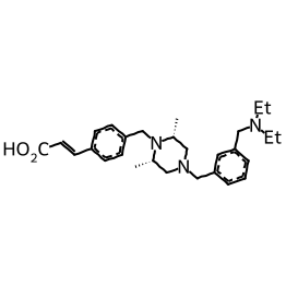 CCN(CC)Cc1cccc(CN2C[C@@H](C)N(Cc3ccc(C=CC(=O)O)cc3)[C@@H](C)C2)c1